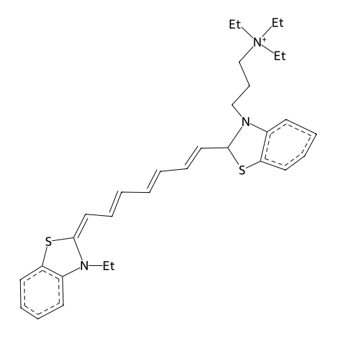 CCN1C(=CC=CC=CC=CC2Sc3ccccc3N2CCC[N+](CC)(CC)CC)Sc2ccccc21